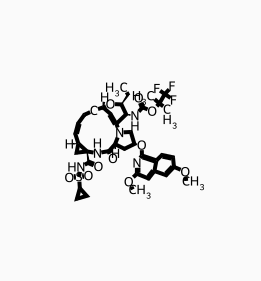 CC[C@@H]1O[C@@H]2C=C([C@H]1NC(=O)OC(C)(C)C(F)(F)F)N1C[C@H](Oc3nc(OC)cc4cc(OC)ccc34)C[C@H]1C(=O)N[C@]1(C(=O)NS(=O)(=O)C3CC3)C[C@H]1/C=C\CC2